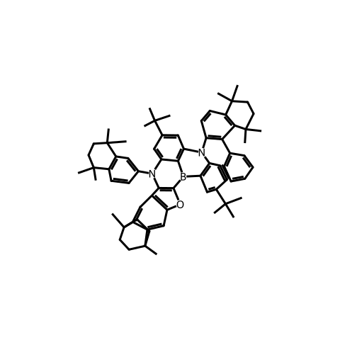 CC(C)(C)c1c#cc2c(c1)B1c3oc4cc5c(cc4c3N(c3ccc4c(c3)C(C)(C)CCC4(C)C)c3cc(C(C)(C)C)cc(c31)N2c1ccc2c(c1-c1ccccc1)C(C)(C)CCC2(C)C)C1(C)CCC5(C)CC1